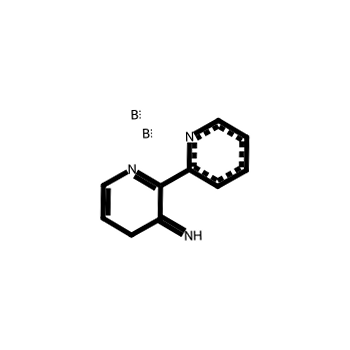 N=C1CC=CN=C1c1ccccn1.[B].[B]